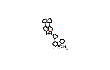 CC1(C)c2ccccc2-c2c(-c3cccc(Nc4ccc(-c5cccc6cccc(-c7ccccc7)c56)cc4)c3)cccc21